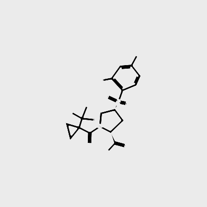 O=C(O)[C@@H]1C[C@@H](S(=O)(=O)c2ccc(F)cc2Cl)CN1C(=O)C1(C(F)(F)F)CC1